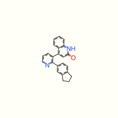 O=c1cc(-c2cccnc2-c2ccc3c(c2)CCC3)c2ccccc2[nH]1